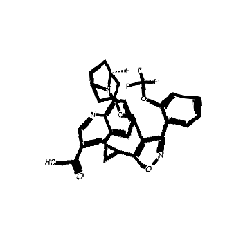 O=C(O)c1cnc2c(N3C4CC[C@H]3CC(OCc3c(-c5ccccc5OC(F)(F)F)noc3C3CC3)C4)cccc2c1